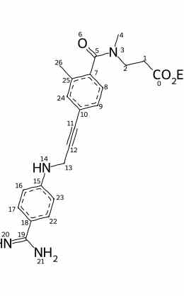 CCOC(=O)CCN(C)C(=O)c1ccc(C#CCNc2ccc(C(=N)N)cc2)cc1C